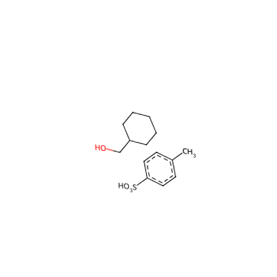 Cc1ccc(S(=O)(=O)O)cc1.OCC1CCCCC1